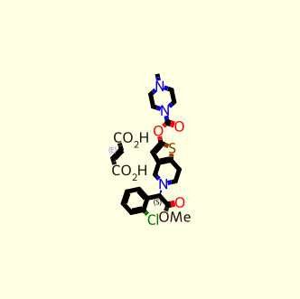 COC(=O)[C@H](c1ccccc1Cl)N1CCc2sc(OC(=O)N3CCN(C)CC3)cc2C1.O=C(O)/C=C/C(=O)O